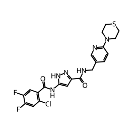 O=C(NCc1ccc(N2CCSCC2)nc1)c1cc(NC(=O)c2cc(F)c(F)cc2Cl)[nH]n1